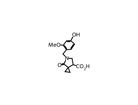 COc1cc(O)ccc1CN1CC(C(=O)O)C2(CC2)C1=O